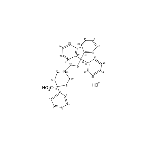 Cl.O=C(O)C1(c2ccccc2)CCN(CCC(c2ccccc2)(c2ccccc2)c2ccccn2)CC1